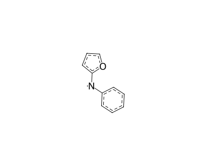 c1ccc([N]c2ccco2)cc1